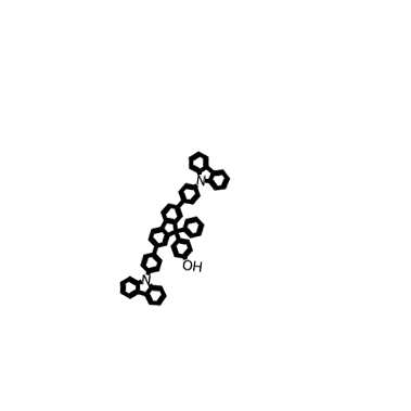 Oc1ccc(C2(c3ccccc3)c3cc(-c4ccc(-n5c6ccccc6c6ccccc65)cc4)ccc3-c3ccc(-c4ccc(-n5c6ccccc6c6ccccc65)cc4)cc32)cc1